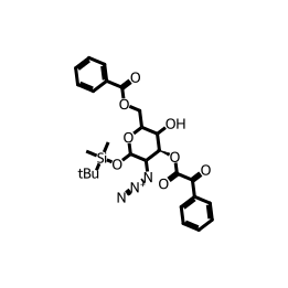 CC(C)(C)[Si](C)(C)OC1OC(COC(=O)c2ccccc2)C(O)[C@@H](OC(=O)C(=O)c2ccccc2)C1N=[N+]=[N-]